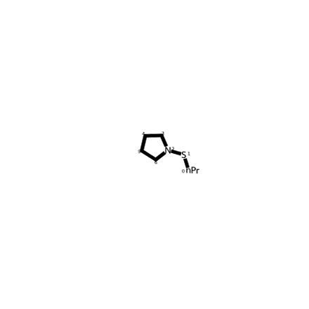 CCCSN1CCCC1